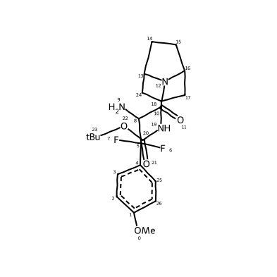 COc1ccc(C(F)(F)C(N)C(=O)N2C3CCC2CC(NC(=O)OC(C)(C)C)C3)cc1